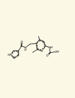 Cc1cc(NC(=O)O)nc(C)c1CNC(=O)c1cc[nH]c1